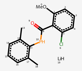 COc1cccc(Cl)c1C(=O)Pc1c(C)cccc1C.[LiH]